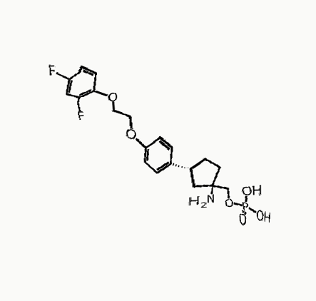 N[C@]1(COP(=O)(O)O)CC[C@@H](c2ccc(OCCOc3ccc(F)cc3F)cc2)C1